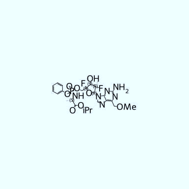 COCc1nc(N)nc2c1ncn2[C@@H]1O[C@](F)(COP(=O)(N[C@@H](C)C(=O)OC(C)C)Oc2ccccc2)[C@@H](O)[C@@]1(C)F